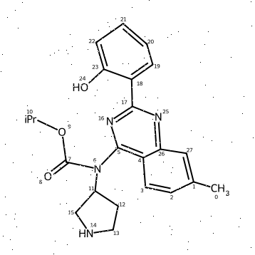 Cc1ccc2c(N(C(=O)OC(C)C)C3CCNC3)nc(-c3ccccc3O)nc2c1